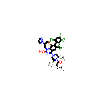 C=CC(=O)N1[C@H](C)CN(C2=NC(O)N3CC(n4cccn4)CSc4c(-c5cc(Cl)c(F)cc5F)c(C(F)(F)F)cc2c43)C[C@@H]1C